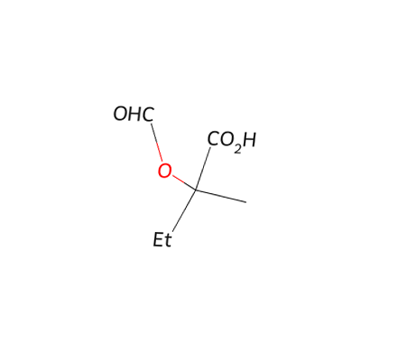 CCC(C)(OC=O)C(=O)O